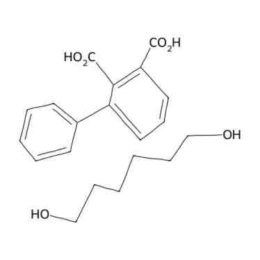 O=C(O)c1cccc(-c2ccccc2)c1C(=O)O.OCCCCCCO